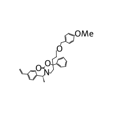 C=Cc1ccc([C@H](C)N2CCC(CCCOCc3ccc(OC)cc3)(c3ccccc3)OC2=O)cc1